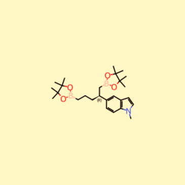 Cn1ccc2cc([C@@H](CCCB3OC(C)(C)C(C)(C)O3)CB3OC(C)(C)C(C)(C)O3)ccc21